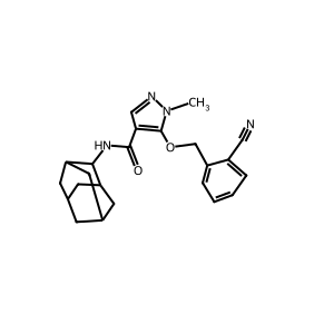 Cn1ncc(C(=O)NC2C3CC4CC(C3)CC2C4)c1OCc1ccccc1C#N